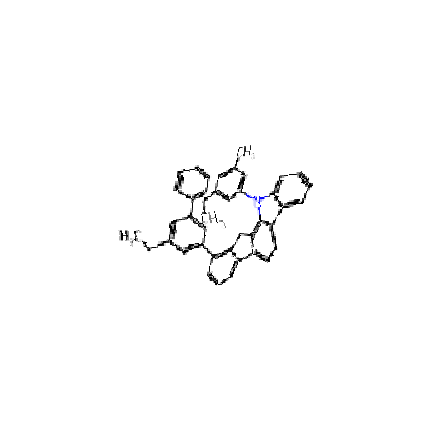 CCc1cc(-c2ccccc2)cc(-c2cccc3c2Cc2c-3ccc3c4ccccc4n(-c4cc(C)cc(CC)c4)c23)c1